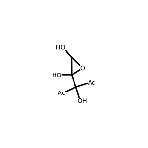 CC(=O)C(O)(C(C)=O)C1(O)OC1O